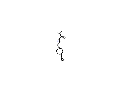 CC(C)C(=O)/C=C/CN1CCN(C2CC2)CC1